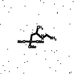 CO[Si](CC(C)NCN)(OC)OC